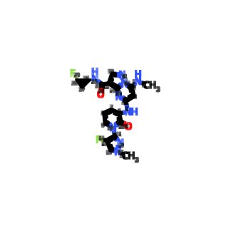 CNc1cc(Nc2cccn(-c3nn(C)cc3F)c2=O)nc2c(C(=O)N[C@@H]3C[C@@H]3F)cnn12